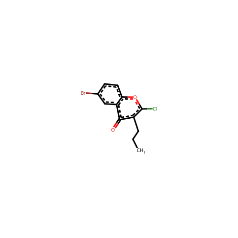 CCCc1c(Cl)oc2ccc(Br)cc2c1=O